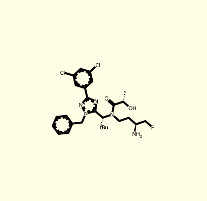 C[C@H](O)C(=O)N(CC[C@H](N)CF)[C@@H](c1nc(-c2cc(Cl)cc(Cl)c2)nn1Cc1ccccc1)C(C)(C)C